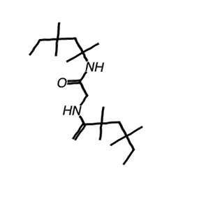 C=C(NCC(=O)NC(C)(C)CC(C)(C)CC)C(C)(C)CC(C)(C)CC